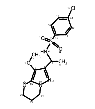 COc1c(C(C)NS(=O)(=O)c2ccc(Cl)cc2)nn2c1OCCC2